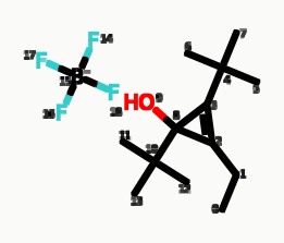 CCC1=C(C(C)(C)C)C1(O)C(C)(C)C.F[B-](F)(F)F